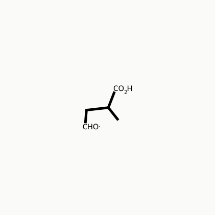 CC(C[C]=O)C(=O)O